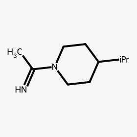 CC(=N)N1CCC(C(C)C)CC1